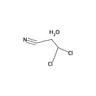 N#CCC(Cl)Cl.O